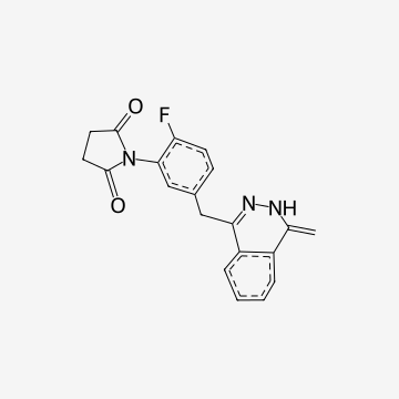 C=C1NN=C(Cc2ccc(F)c(N3C(=O)CCC3=O)c2)c2ccccc21